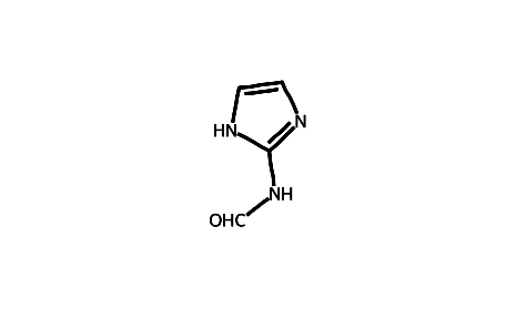 O=CNc1ncc[nH]1